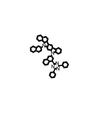 c1ccc(-c2nc(-c3ccccc3)nc(-c3cc(-n4c5ccccc5c5cc6c7ccc8ccccc8c7n(-c7ccc8ccccc8c7)c6cc54)cc4ccccc34)n2)cc1